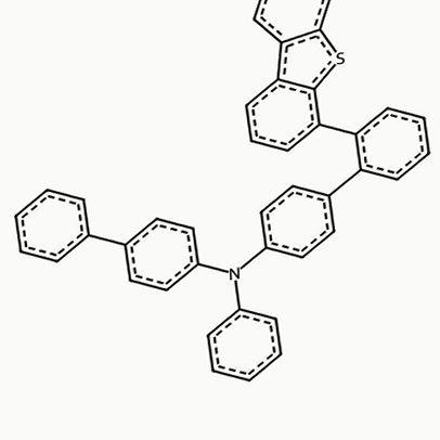 c1ccc(-c2ccc(N(c3ccccc3)c3ccc(-c4ccccc4-c4cccc5c4sc4ccccc45)cc3)cc2)cc1